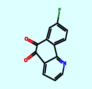 O=C1C(=O)c2cccnc2-c2ccc(F)cc21